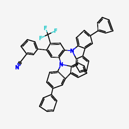 N#Cc1cccc(-c2cc(-n3c4ccccc4c4cc(-c5ccccc5)ccc43)c(-n3c4ccccc4c4cc(-c5ccccc5)ccc43)cc2C(F)(F)F)c1